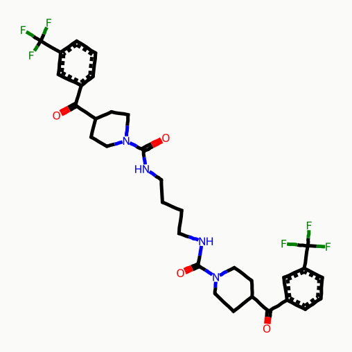 O=C(c1cccc(C(F)(F)F)c1)C1CCN(C(=O)NCCCCNC(=O)N2CCC(C(=O)c3cccc(C(F)(F)F)c3)CC2)CC1